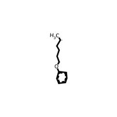 C[CH]CCCCOc1ccccc1